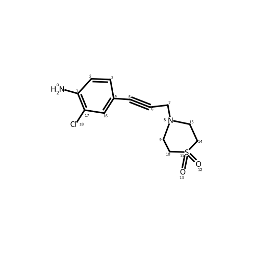 Nc1ccc(C#CCN2CCS(=O)(=O)CC2)cc1Cl